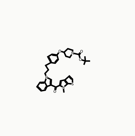 Cn1c(C(=O)c2cn(CCCc3ccc(OC4CCN(C(=O)OC(C)(C)C)CC4)cc3)c3ccccc23)cc2ccsc21